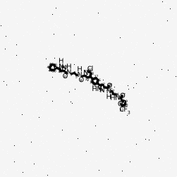 O=C(NCCCNC(=O)c1cc(-c2ccc(-c3cc(C(=O)NCCCNC(=O)c4ccc(C(F)(F)F)o4)n[nH]3)cc2)cc(Cl)n1)c1cc(-c2ccccc2)[nH]n1